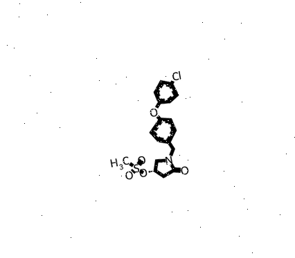 CS(=O)(=O)O[C@H]1CC(=O)N(Cc2ccc(Oc3ccc(Cl)cc3)cc2)C1